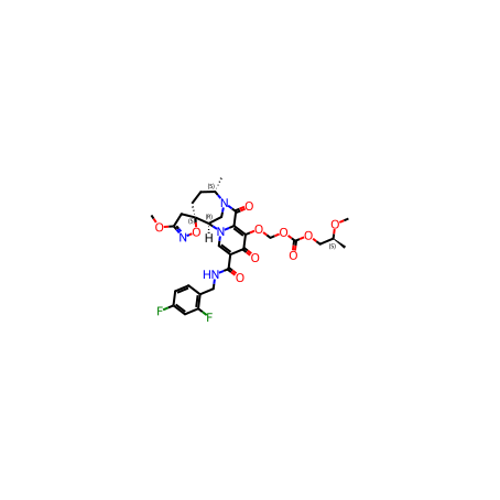 COC1=NO[C@@]2(CC[C@H](C)N3C[C@H]2n2cc(C(=O)NCc4ccc(F)cc4F)c(=O)c(OCOC(=O)OC[C@H](C)OC)c2C3=O)C1